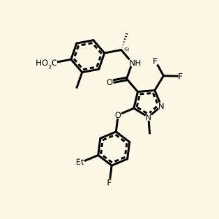 CCc1cc(Oc2c(C(=O)N[C@@H](C)c3ccc(C(=O)O)c(C)c3)c(C(F)F)nn2C)ccc1F